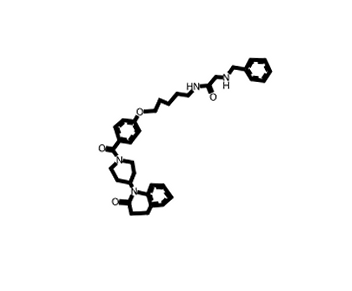 O=C(CNCc1ccccc1)NCCCCCOc1ccc(C(=O)N2CCC(N3C(=O)CCc4ccccc43)CC2)cc1